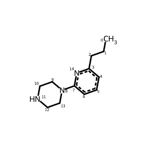 CCCc1cccc(N2CCNCC2)n1